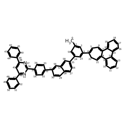 Cc1cc(C2=CC=c3c(c4ccccc4c4ccccc34)=CC2)cc(-c2ccc3ccc(-c4ccc(-c5nc(-c6ccccc6)cc(-c6ccccc6)n5)cc4)cc3c2)c1